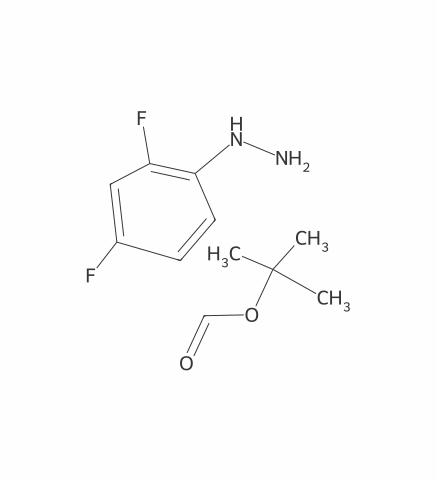 CC(C)(C)OC=O.NNc1ccc(F)cc1F